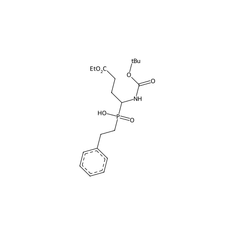 CCOC(=O)CCC(NC(=O)OC(C)(C)C)P(=O)(O)CCc1ccccc1